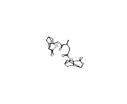 CC(CC(=O)OC1C2CC3C(=O)OC1C3C2)C(=O)OC12CC3CC(C(=O)O1)C2C3